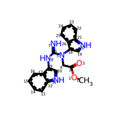 COC(=O)CN(C(=N)Nc1c[nH]c2ccccc12)c1c[nH]c2ccccc12